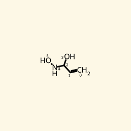 C=CC(O)NO